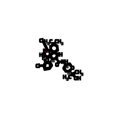 CC1(C)CCC2(CC1)N[C@@H](C(=O)N[C@@H]1CC[C@@H](C(C)(C)O)OC1)[C@H](c1cccc(Cl)c1F)[C@]21C(=O)Nc2nc(Cl)ccc21